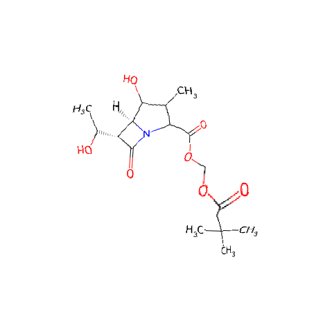 CC1C(O)[C@@H]2[C@@H](C(C)O)C(=O)N2C1C(=O)OCOC(=O)C(C)(C)C